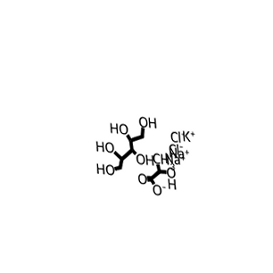 CC(O)C(=O)[O-].OCC(O)C(O)C(O)CO.[Cl-].[Cl-].[K+].[Na+].[Na+]